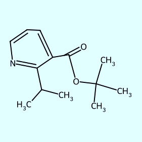 CC(C)c1ncccc1C(=O)OC(C)(C)C